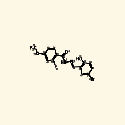 O=C(NN=Cc1cc(Br)ccc1O)c1ccc(OC(F)(F)F)cc1F